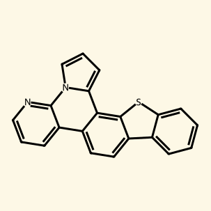 c1ccc2c(c1)sc1c2ccc2c3cccnc3n3cccc3c21